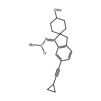 COC1CCC2(CC1)Cc1ccc(C#CC3CC3)cc1/C2=N\[S+]([O-])C(C)(C)C